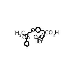 Cc1oc(-c2ccccc2)nc1CCOc1ccc(CC(C(=O)O)n2ccc(C(=O)C(C)C)c2)cc1